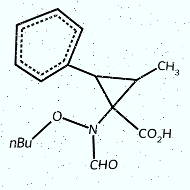 CCCCON(C=O)C1(C(=O)O)C(C)C1c1ccccc1